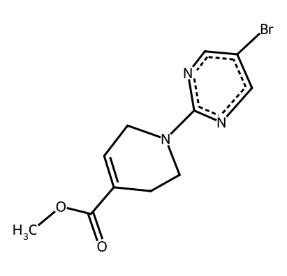 COC(=O)C1=CCN(c2ncc(Br)cn2)CC1